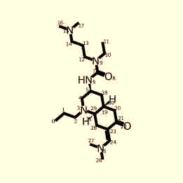 CCCN1C[C@@H](NC(=O)N(CC)CCCN(C)C)C[C@@H]2CC(=O)C(=CN(C)C)C[C@H]21